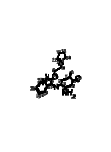 CC1=C/C(=N\c2c(OCCN3CCCC3)nn3ccccc23)C(N)=CC1=O